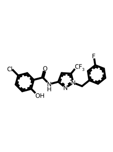 O=C(Nc1cc(C(F)(F)F)n(Cc2cccc(F)c2)n1)c1cc(Cl)ccc1O